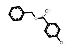 O[C@@H](OCc1ccccc1)c1ccc(Cl)cc1